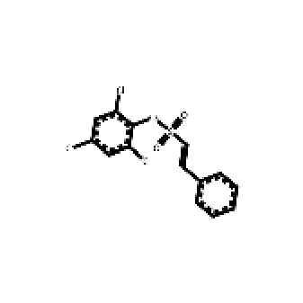 O=S(=O)(/C=C/c1ccccc1)Oc1c(Cl)cc(Cl)cc1Cl